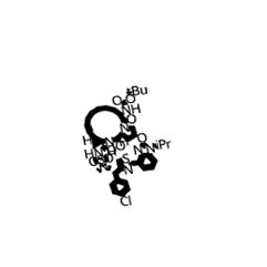 CC(C)n1c(O[C@@H]2C[C@H]3C(=O)N[C@]4(C(=O)NS(=O)(=O)N(C)C)C[C@H]4/C=C\CCCCC[C@H](NC(=O)OC(C)(C)C)C(=O)N3C2)nc2c(-c3nc(Cc4ccc(Cl)cc4)cs3)cccc21